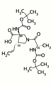 C=CC[C@H]1CN(C(=O)[C@H](C)NC(=O)OC(C)(C)C)C[C@@]1(NC(=O)OC(C)(C)C)C(=O)O